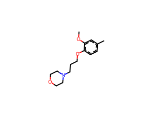 COc1cc(C)ccc1OCCCN1CCOCC1